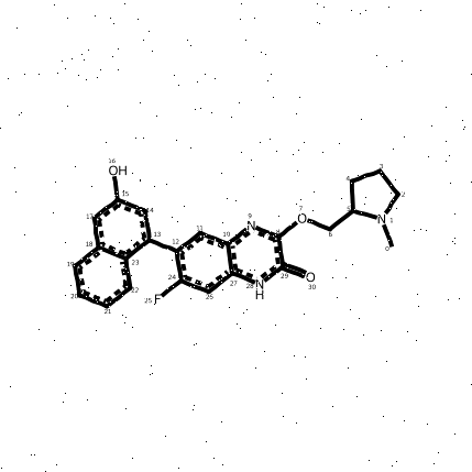 CN1CCCC1COc1nc2cc(-c3cc(O)cc4ccccc34)c(F)cc2[nH]c1=O